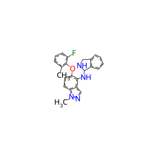 Cc1cccc(F)c1Oc1ccc2c(cnn2C)c1NC1NCc2ccccc21